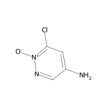 Nc1cn[n+]([O-])c(Cl)c1